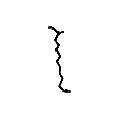 CCCCCCCCCCCCCCOCCN(C)CCC